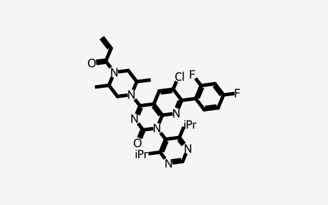 C=CC(=O)N1CC(C)N(c2nc(=O)n(-c3c(C(C)C)ncnc3C(C)C)c3nc(-c4ccc(F)cc4F)c(Cl)cc23)CC1C